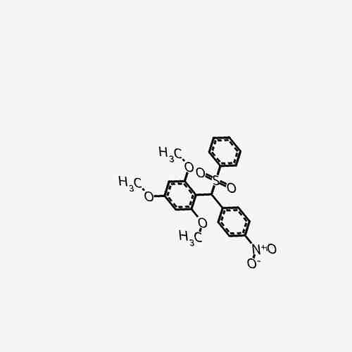 COc1cc(OC)c(C(c2ccc([N+](=O)[O-])cc2)S(=O)(=O)c2ccccc2)c(OC)c1